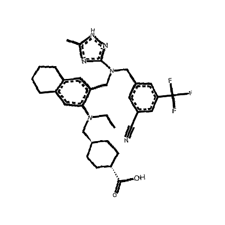 CCN(C[C@H]1CC[C@H](C(=O)O)CC1)c1cc2c(cc1CN(Cc1cc(C#N)cc(C(F)(F)F)c1)c1n[nH]c(C)n1)CCCC2